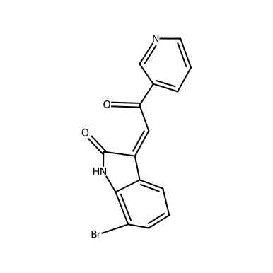 O=C1Nc2c(Br)cccc2C1=CC(=O)c1cccnc1